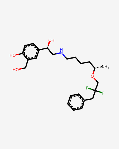 C[C@@H](CCCCNC[C@H](O)c1ccc(O)c(CO)c1)OCC(F)(F)Cc1ccccc1